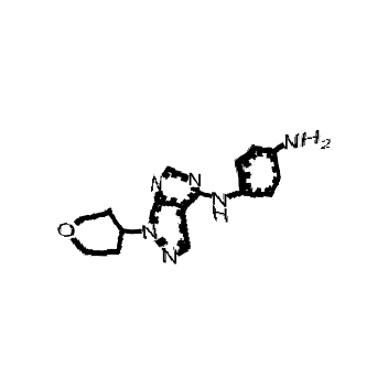 Nc1ccc(Nc2ncnc3c2cnn3C2CCOCC2)cc1